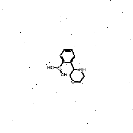 OB(O)c1ccccc1C1COCCN1